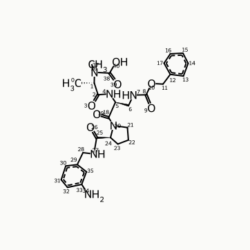 C[C@@H](C(=O)N[C@@H](CNC(=O)OCc1ccccc1)C(=O)N1CCC[C@H]1C(=O)NCc1cccc(N)c1)N(C)C(=O)O